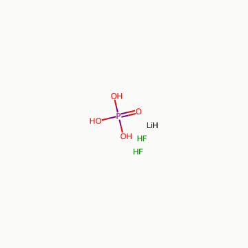 F.F.O=P(O)(O)O.[LiH]